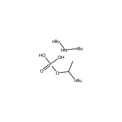 CCCCC(C)OP(=O)(O)O.CCCCNCCCC